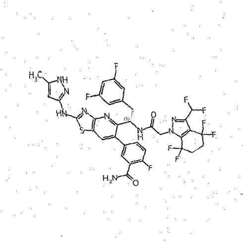 Cc1cc(Nc2nc3nc([C@H](Cc4cc(F)cc(F)c4)NC(=O)Cn4nc(C(F)F)c5c4C(F)(F)CCC5(F)F)c(-c4ccc(F)c(C(N)=O)c4)cc3s2)n[nH]1